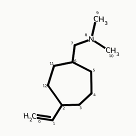 C=CC1CCCC(CN(C)C)CC1